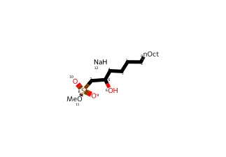 CCCCCCCCCCCCC(O)CS(=O)(=O)OC.[NaH]